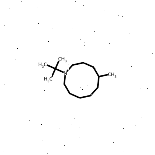 CC1CCCCCN(C(C)(C)C)CCC1